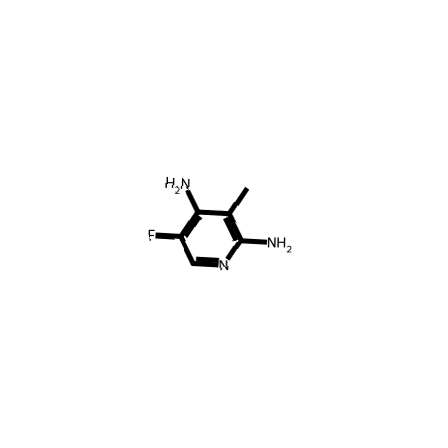 Cc1c(N)ncc(F)c1N